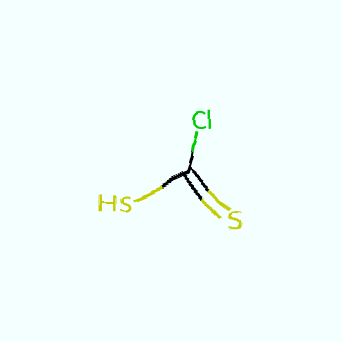 S=C(S)Cl